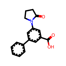 O=C(O)c1cc(-c2ccccc2)cc(N2CCCC2=O)c1